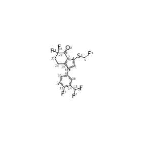 O=C1c2c(SCF)cn(-c3ccc(F)c(C(F)F)c3)c2CCC1(F)F